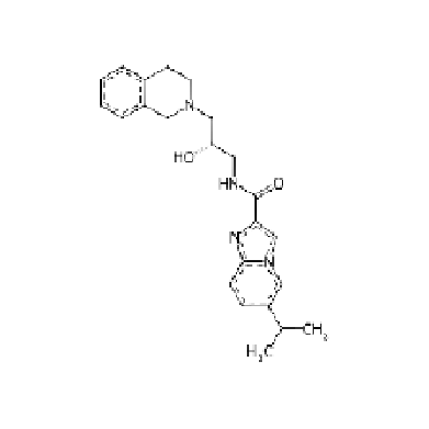 CC(C)c1ccc2nc(C(=O)NC[C@H](O)CN3CCc4ccccc4C3)cn2c1